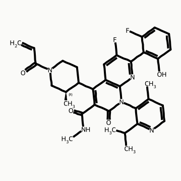 C=CC(=O)N1CCC(c2c(C(=O)NC)c(=O)n(-c3c(C)ccnc3C(C)C)c3nc(-c4c(O)cccc4F)c(F)cc23)[C@@H](C)C1